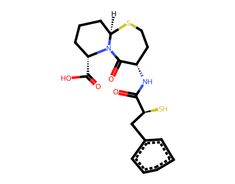 O=C(N[C@H]1CCS[C@@H]2CCC[C@@H](C(=O)O)N2C1=O)[C@@H](S)Cc1ccccc1